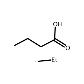 CCCC(=O)O.[CH2]CC